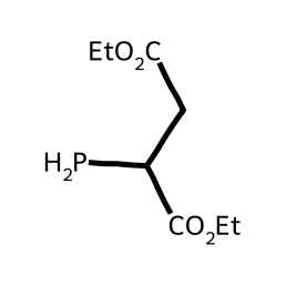 CCOC(=O)CC(P)C(=O)OCC